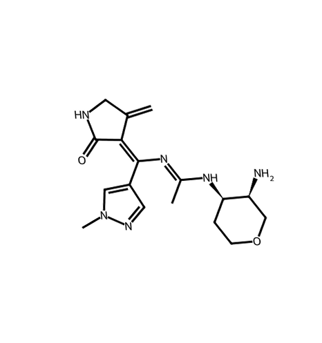 C=C1CNC(=O)/C1=C(/N=C(\C)N[C@@H]1CCOC[C@@H]1N)c1cnn(C)c1